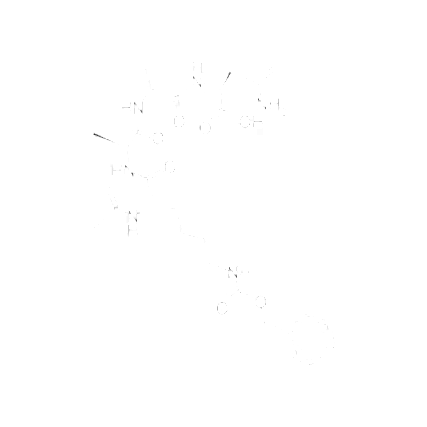 C=C(N)C[C@H](NC(=O)[C@@H](C)NC(=O)[C@H](C)NC(=O)[C@H](CCCCNC(=O)OCc1ccccc1)NC(=C)C)C(=O)O